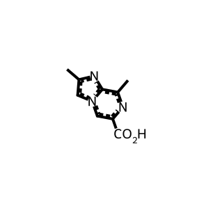 Cc1cn2cc(C(=O)O)nc(C)c2n1